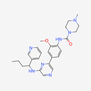 CCCC(Nc1cncc(-c2ccc(NC(=O)N3CCN(C)CC3)c(OC)c2)n1)c1cccnc1